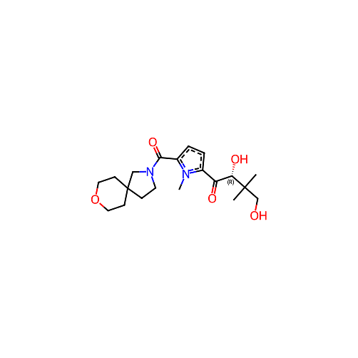 Cn1c(C(=O)[C@H](O)C(C)(C)CO)ccc1C(=O)N1CCC2(CCOCC2)C1